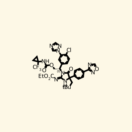 CCOC(=O)N=C1NC(CC(C)(C)C)(c2ccc(-c3ncon3)cc2)C(=O)N1[C@H](COC(=O)NC1(C(F)(F)F)CC1)c1ccc(Cl)c(-n2cncn2)c1